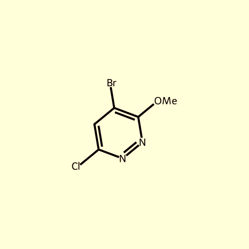 COc1nnc(Cl)cc1Br